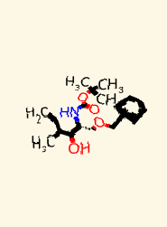 C=CC(C)C(O)[C@@H](COCc1ccccc1)NC(=O)OC(C)(C)C